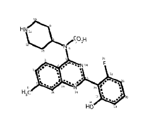 Cc1ccc2c(N(C(=O)O)C3CCNCC3)nc(-c3c(O)cccc3F)nc2c1